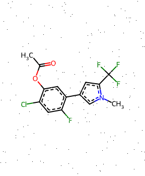 CC(=O)Oc1cc(-c2cc(C(F)(F)F)n(C)c2)c(F)cc1Cl